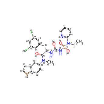 CCN(c1ccccn1)S(=O)(=O)NC(=O)N[C@@H](Cc1cc(F)cc(F)c1)C(=O)N(C)c1ccc2sccc2c1